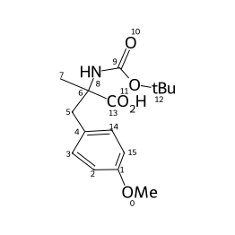 COc1ccc(CC(C)(NC(=O)OC(C)(C)C)C(=O)O)cc1